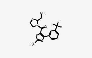 Cc1nc(-c2cccc(C(F)(F)F)c2)c(C(=O)N2CCSC2CN)s1